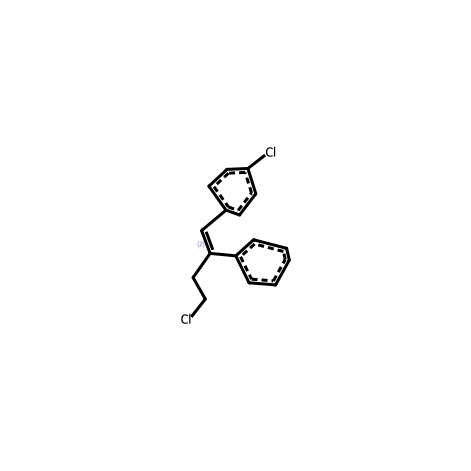 ClCC/C(=C/c1ccc(Cl)cc1)c1ccccc1